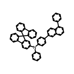 c1ccc(-c2cccc3cc(-c4ccc(N(c5ccccc5)c5ccc6c(c5)C5(c7ccccc7-c7ccccc75)c5ccccc5-6)cc4)ccc23)cc1